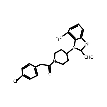 O=CC1Nc2cccc(C(F)(F)F)c2N1C1CCN(C(=O)Cc2ccc(Cl)cc2)CC1